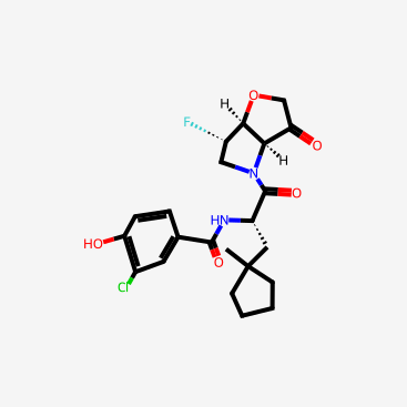 CC1(C[C@H](NC(=O)c2ccc(O)c(Cl)c2)C(=O)N2C[C@H](F)[C@H]3OCC(=O)[C@H]32)CCCC1